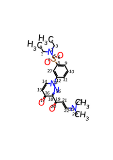 CCN(CC)S(=O)(=O)c1cccc(-n2ccc(=O)c(C(=O)C=CN(C)C)n2)c1